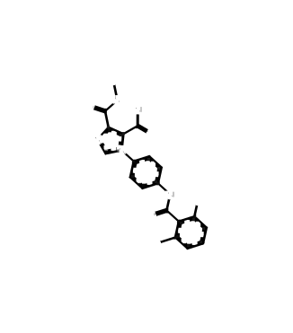 CNC(=O)c1ncn(-c2ccc(NC(=O)c3c(C)cccc3F)cc2)c1C(N)=O